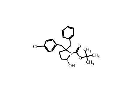 CC(C)(C)OC(=O)N1[C@H](O)CC[C@]1(Cc1ccccc1)Cc1ccc(Cl)cc1